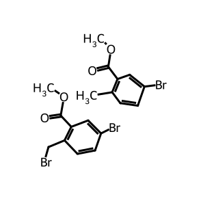 COC(=O)c1cc(Br)ccc1C.COC(=O)c1cc(Br)ccc1CBr